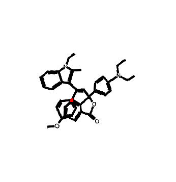 CCN(CC)c1ccc(C2(/C=C(\c3ccc(OC)cc3)c3c(C)n(CC)c4ccccc34)OC(=O)c3ccccc32)cc1